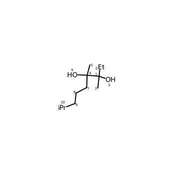 CCC(C)(O)C(C)(O)CCCC(C)C